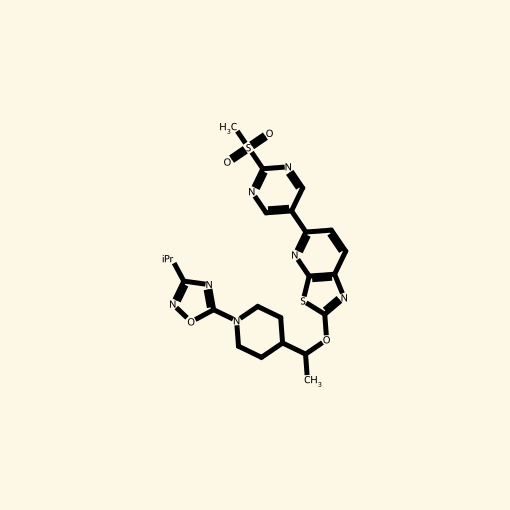 CC(C)c1noc(N2CCC(C(C)Oc3nc4ccc(-c5cnc(S(C)(=O)=O)nc5)nc4s3)CC2)n1